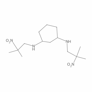 CC(C)(CNC1CCCC(NCC(C)(C)[N+](=O)[O-])C1)[N+](=O)[O-]